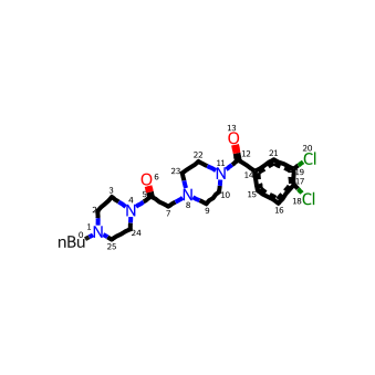 CCCCN1CCN(C(=O)CN2CCN(C(=O)c3ccc(Cl)c(Cl)c3)CC2)CC1